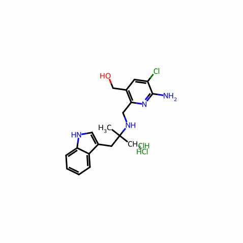 CC(C)(Cc1c[nH]c2ccccc12)NCc1nc(N)c(Cl)cc1CO.Cl.Cl